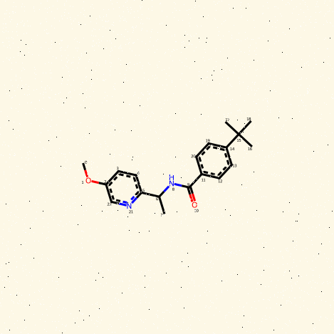 COc1ccc(C(C)NC(=O)c2ccc(C(C)(C)C)cc2)nc1